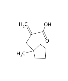 C=C(CC1(C)CCCC1)C(=O)O